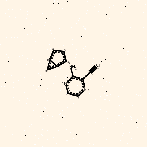 C#Cc1nccnc1N.c1cc2cc-2c1